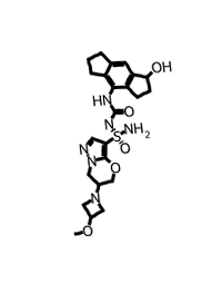 COC1CN(C2COc3c(S(N)(=O)=NC(=O)Nc4c5c(cc6c4CCC6O)CCC5)cnn3C2)C1